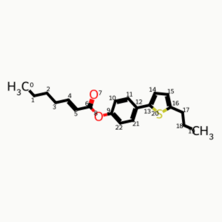 CCCCC=CC(=O)Oc1ccc(-c2ccc(CCC)s2)cc1